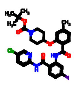 Cc1ccc(C(=O)Nc2cc(I)ccc2C(=O)Nc2ccc(Cl)cn2)c(OC2CCN(C(=O)OC(C)(C)C)CC2)c1